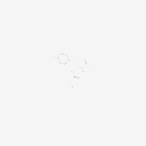 COC(=O)[C@@H](O)[C@@H](Cc1ccc(Cl)cc1)NC(=O)OC(C)(C)C